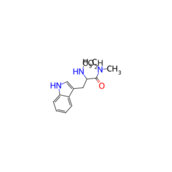 CN(C)C(=O)C(Cc1c[nH]c2ccccc12)NC(=O)O